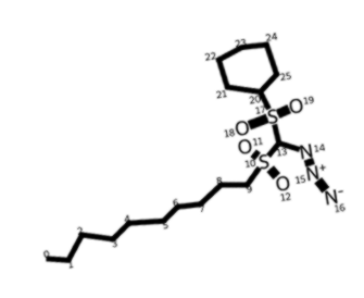 CCCCCCCCCCS(=O)(=O)C(N=[N+]=[N-])S(=O)(=O)C1CCCCC1